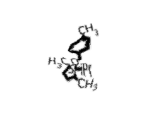 Cc1ccc(CO[Si]2(C(C)C)C(C)CCC2C)cc1